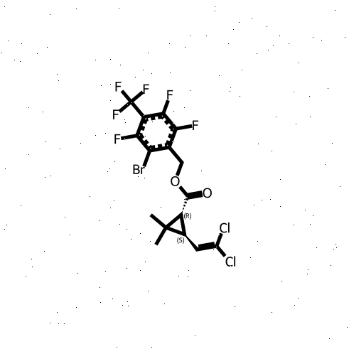 CC1(C)[C@H](C=C(Cl)Cl)[C@H]1C(=O)OCc1c(F)c(F)c(C(F)(F)F)c(F)c1Br